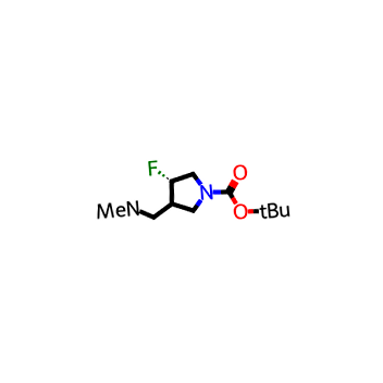 CNCC1CN(C(=O)OC(C)(C)C)C[C@H]1F